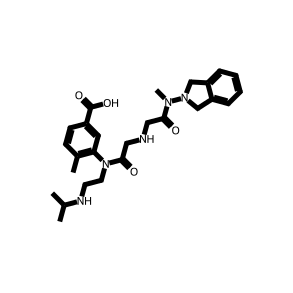 Cc1ccc(C(=O)O)cc1N(CCNC(C)C)C(=O)CNCC(=O)N(C)N1Cc2ccccc2C1